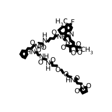 Cc1c(F)cc2nc3c(c4c2c1CC[C@@H]4NC(=O)CCCNC(=O)CNC(=O)C(Cc1ccccc1)NC(=O)CNC(=O)CNC(=O)CCOCCOCCNC(=O)CCN1C(=O)C=CC1=O)Cn1c-3cc2c(c1=O)COC(=O)[C@@]21OC1C